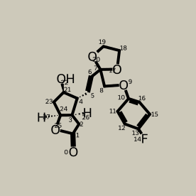 O=C1C[C@@H]2[C@@H](/C=C/C3(COc4ccc(F)cc4)OCCO3)[C@H](O)C[C@@H]2O1